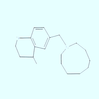 CC1CCNc2ccc(CN3CCCCCCCC3)cc21